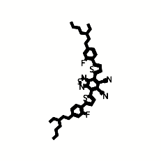 CCCCC(CC)CCc1ccc(-c2ccc(-c3c(C#N)c(C#N)c(-c4ccc(-c5ccc(CCC(CC)CCCC)cc5F)s4)c4nsnc34)s2)c(F)c1